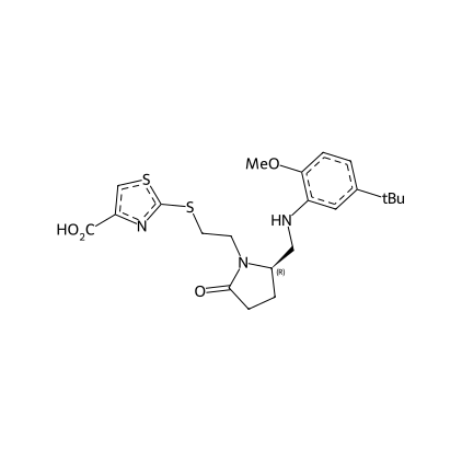 COc1ccc(C(C)(C)C)cc1NC[C@H]1CCC(=O)N1CCSc1nc(C(=O)O)cs1